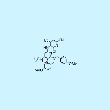 CCc1cc(C#N)nc(Cl)c1Nc1cc2c(ncn2C)c(N(Cc2ccc(OC)cc2)Cc2ccc(OC)cc2)n1